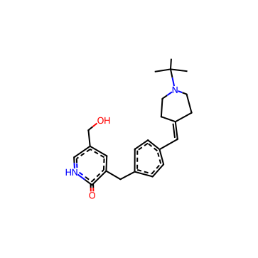 CC(C)(C)N1CCC(=Cc2ccc(Cc3cc(CO)c[nH]c3=O)cc2)CC1